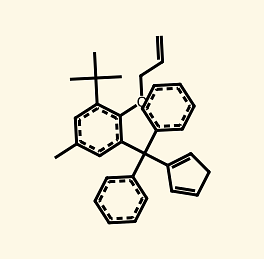 C=CCOc1c(C(C)(C)C)cc(C)cc1C(C1=CCC=C1)(c1ccccc1)c1ccccc1